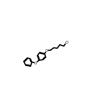 ClCCCCCOc1ccc(Oc2ccccc2)cc1